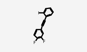 Fc1ccc(C#Cc2ccccc2I)cc1F